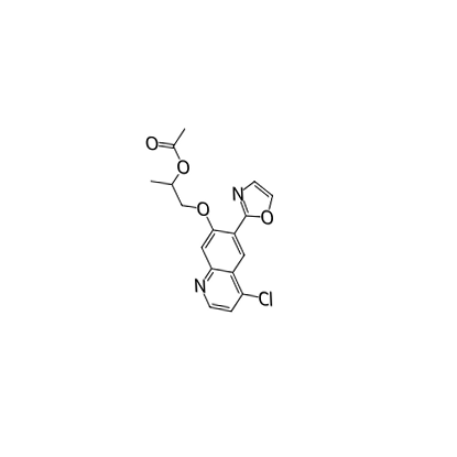 CC(=O)OC(C)COc1cc2nccc(Cl)c2cc1-c1ncco1